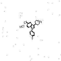 Cl.Fc1ccc(-n2cc(C3CCNCC3)c3cc(Cl)ccc32)cc1